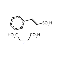 O=C(O)/C=C\C(=O)O.O=S(=O)(O)C=Cc1ccccc1